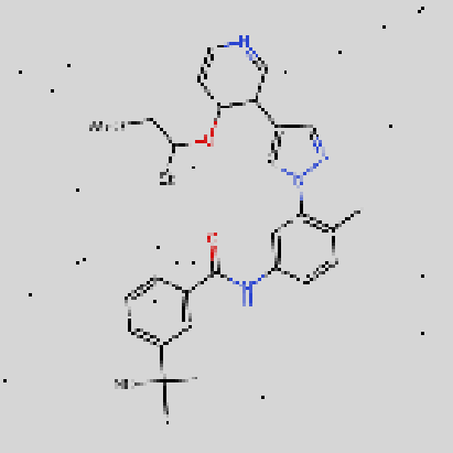 CCC(COC)OC1C=CN=CC1c1cnn(-c2cc(NC(=O)c3cccc(C(C)(C)C#N)c3)ccc2C)c1